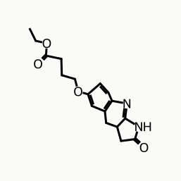 CCOC(=O)CCCOc1ccc2c(c1)CC1CC(=O)NC1=N2